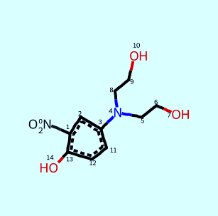 O=[N+]([O-])c1cc(N(CCO)CCO)ccc1O